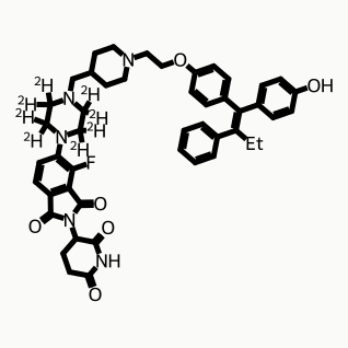 [2H]C1([2H])N(CC2CCN(CCOc3ccc(C(=C(CC)c4ccccc4)c4ccc(O)cc4)cc3)CC2)C([2H])([2H])C([2H])([2H])N(c2ccc3c(c2F)C(=O)N(C2CCC(=O)NC2=O)C3=O)C1([2H])[2H]